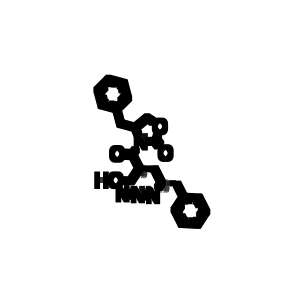 [N-]=[N+]=N[C@@H](Cc1ccccc1)C[C@@H](CO)C(=O)N1C(=O)OCC1Cc1ccccc1